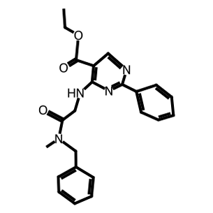 CCOC(=O)c1cnc(-c2ccccc2)nc1NCC(=O)N(C)Cc1ccccc1